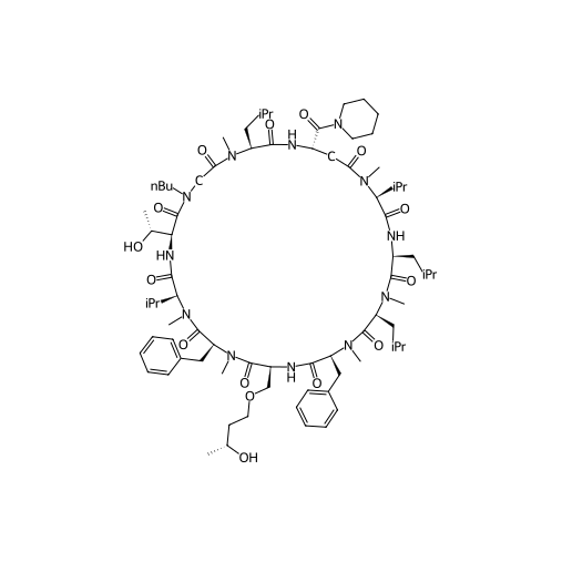 CCCCN1CC(=O)N(C)[C@@H](CC(C)C)C(=O)N[C@H](C(=O)N2CCCCC2)CC(=O)N(C)[C@@H](C(C)C)C(=O)N[C@@H](CC(C)C)C(=O)N(C)[C@@H](CC(C)C)C(=O)N(C)[C@@H](Cc2ccccc2)C(=O)N[C@@H](COCC[C@@H](C)O)C(=O)N(C)[C@@H](Cc2ccccc2)C(=O)N(C)[C@@H](C(C)C)C(=O)N[C@@H]([C@@H](C)O)C1=O